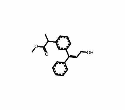 COC(=O)C(C)c1cccc(/C(=C\CO)c2ccccc2)c1